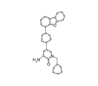 Nc1cc(-c2ccc(-c3cccc4c3oc3ccccc34)cc2)cn(Cc2ccccc2)c1=O